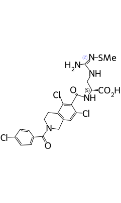 CS/N=C(/N)NC[C@H](NC(=O)c1c(Cl)cc2c(c1Cl)CCN(C(=O)c1ccc(Cl)cc1)C2)C(=O)O